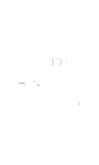 BC(C)(N)C=O